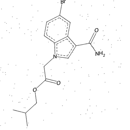 CC(C)COC(=O)Cn1cc(C(N)=O)c2cc(Br)ccc21